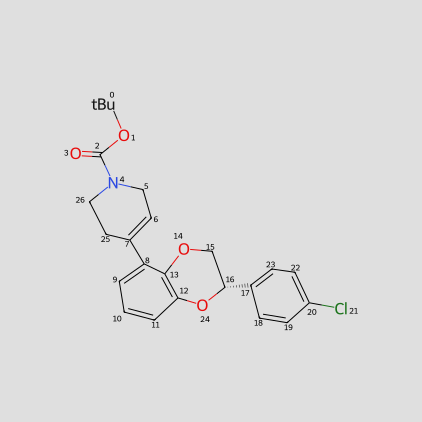 CC(C)(C)OC(=O)N1CC=C(c2cccc3c2OC[C@H](c2ccc(Cl)cc2)O3)CC1